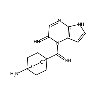 N=C(n1c(=N)cnc2[nH]ccc21)C12CCC(N)(CC1)CC2